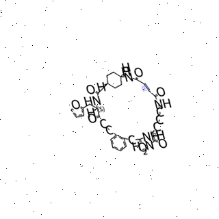 NC(=O)[C@@H]1CCCNC(=O)/C=C/C(=O)N[C@H]2CC[C@H](CC2)C(=O)N[C@@H](Cc2ccco2)C(=O)CCc2ccccc2CC(=O)N1